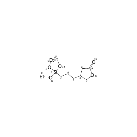 CCO[Si](CCCC1COC(=O)C1)(OCC)OCC